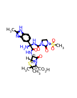 Cc1nc2cc(C(N)(NC(=O)N3CCN(S(C)(=O)=O)C3=O)C(=O)N[C@@H]3C(=O)N4[C@@H]3SC(C)(C)[C@@H]4C(=O)O)ccc2[nH]1